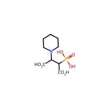 O=C(O)C(C(C(=O)O)P(=O)(O)O)N1CCCCC1